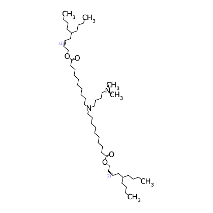 CCCCC(C/C=C\COC(=O)CCCCCCCCCN(CCCCCCCCCC(=O)OC/C=C\CC(CCCC)CCCC)CCCCN(C)C)CCCC